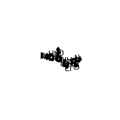 C=CC(=O)Nc1cc(Nc2ncc(Cl)c(Nc3ccc4ncccc4c3P(C)(C)=O)n2)ccc1N1CCC2(CC1)CC(N(C)C)C2